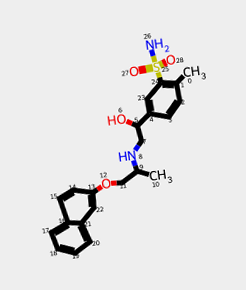 Cc1ccc(C(O)CNC(C)COc2ccc3ccccc3c2)cc1S(N)(=O)=O